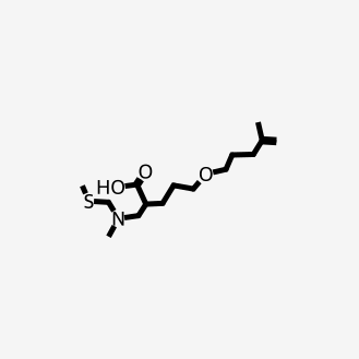 C=C(C)CCCOCCCC(CN(C)CSC)C(=O)O